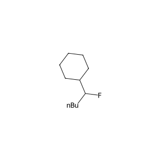 CCCCC(F)C1CCCCC1